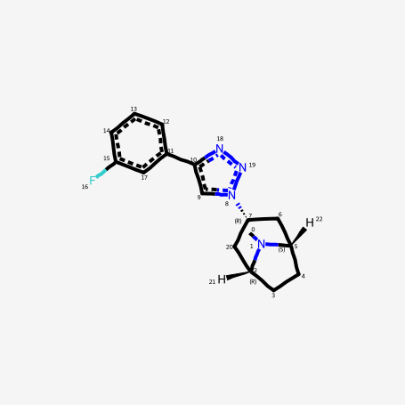 CN1[C@@H]2CC[C@H]1C[C@@H](n1cc(-c3cccc(F)c3)nn1)C2